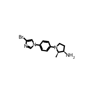 C[C@@H]1[C@H](N)CCN1c1ccc(-n2cnc(Br)c2)cc1